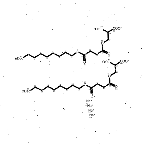 CCCCCCCCCCCCCCCCCCOC(=O)CCC(=O)OCC(C(=O)[O-])C(=O)[O-].CCCCCCCCCCCCCCCCCCOC(=O)CCC(=O)OCC(C(=O)[O-])C(=O)[O-].[Na+].[Na+].[Na+].[Na+]